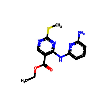 CCOC(=O)c1cnc(SC)nc1Nc1cccc(N)n1